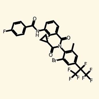 Cc1cc(C(F)(C(F)(F)F)C(F)(F)F)cc(Br)c1N(C(=O)c1cccc(NC(=O)c2ccc(F)cc2)c1F)C(=O)C1CC1